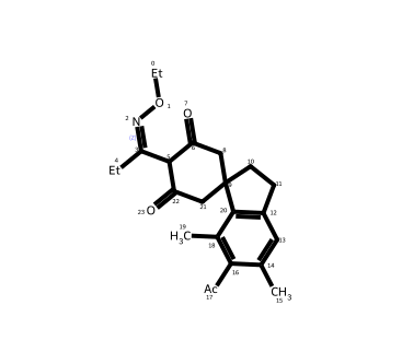 CCO/N=C(/CC)C1C(=O)CC2(CCc3cc(C)c(C(C)=O)c(C)c32)CC1=O